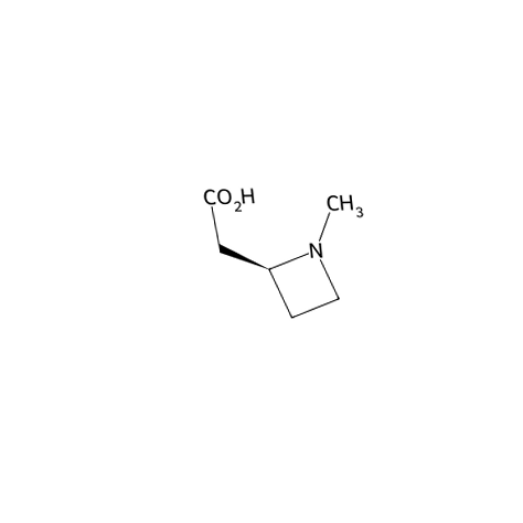 CN1CC[C@H]1CC(=O)O